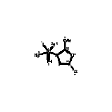 [3H]S(=P)(P)(I)C1C[C@@H](CC)OC1OC(C)=O